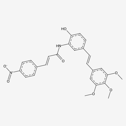 COc1cc(C=Cc2ccc(O)c(NC(=O)/C=C/c3ccc([N+](=O)[O-])cc3)c2)cc(OC)c1OC